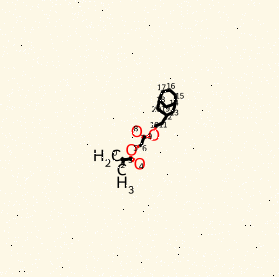 C=C(C)C(=O)OCC(=O)OCCC1CC2CCCC(C2)C1